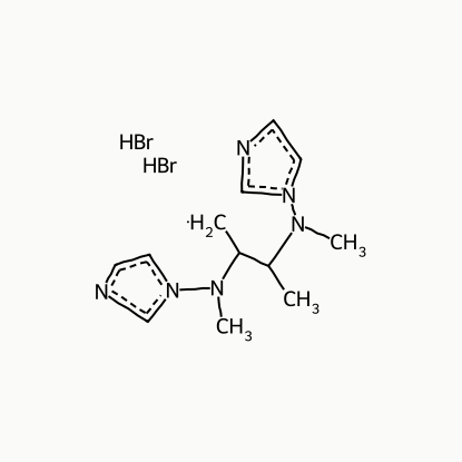 Br.Br.[CH2]C(C(C)N(C)n1ccnc1)N(C)n1ccnc1